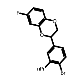 CCCc1cc(C2COc3ccc(F)cc3O2)ccc1Br